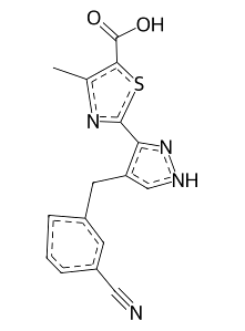 Cc1nc(-c2n[nH]cc2Cc2cccc(C#N)c2)sc1C(=O)O